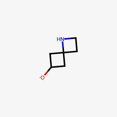 [O]C1CC2(CCN2)C1